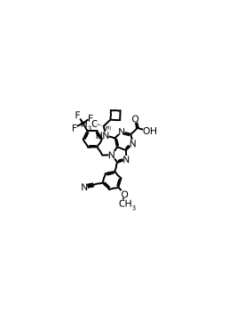 COc1cc(C#N)cc(-c2nc3nc(C(=O)O)nc(N[C@H](C)C4CCC4)c3n2Cc2ccc(C(F)(F)F)cc2)c1